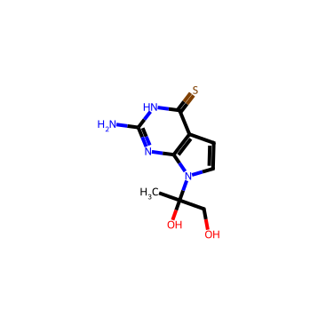 CC(O)(CO)n1ccc2c(=S)[nH]c(N)nc21